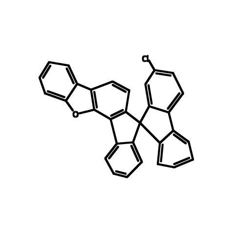 Clc1ccc2c(c1)C1(c3ccccc3-2)c2ccccc2-c2c1ccc1c2oc2ccccc21